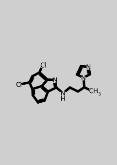 CC(CCNC1=Nc2c(Cl)cc(Cl)c3cccc1c23)n1ccnc1